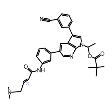 CC(OC(=O)C(C)(C)C)n1cc(-c2cccc(C#N)c2)c2cc(-c3cccc(NC(=O)/C=C/CN(C)C)c3)cnc21